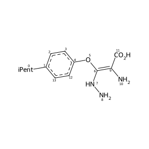 CCCC(C)c1ccc(O/C(NN)=C(/N)C(=O)O)cc1